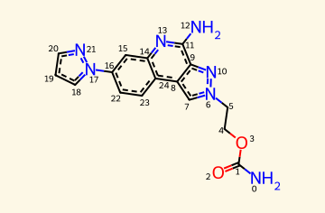 NC(=O)OCCn1cc2c(n1)c(N)nc1cc(-n3cccn3)ccc12